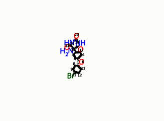 NC1(c2ccc(Oc3ccc(Br)cc3)cc2)C(=O)NC(=O)NC1=O